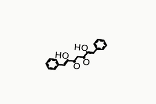 O=C(CC(=O)C(O)=Cc1ccccc1)C(O)=Cc1ccccc1